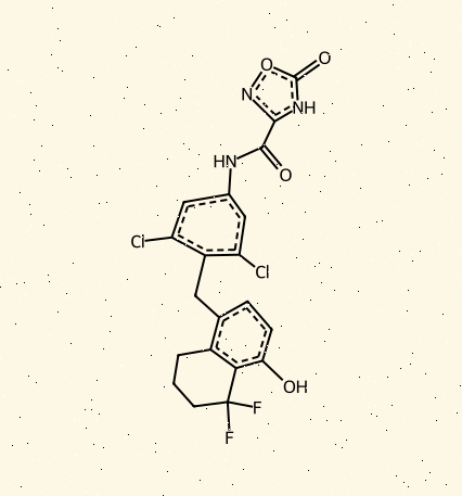 O=C(Nc1cc(Cl)c(Cc2ccc(O)c3c2CCCC3(F)F)c(Cl)c1)c1noc(=O)[nH]1